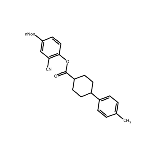 CCCCCCCCCc1ccc(OC(=O)C2CCC(c3ccc(C)cc3)CC2)c(C#N)c1